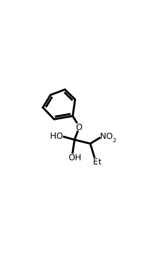 CCC([N+](=O)[O-])C(O)(O)Oc1ccccc1